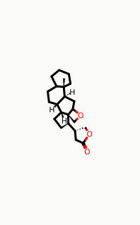 C[C@]12CCCCC1CC[C@H]1[C@H]3CC[C@H]([C@@H]4COC(=O)C4)[C@]34COC4C[C@@H]12